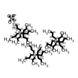 CCCC[N+](CCC)(CCCC)C(CCC)(CCC)CCC.CCCC[N+](CCC)(CCCC)C(CCC)(CCC)CCC.CCCC[N+](CCC)(CCCC)C(CCC)(CCC)CCC.O=P([O-])([O-])[O-]